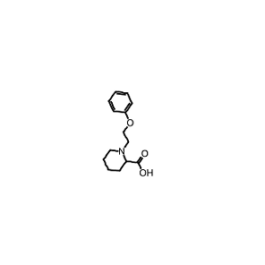 O=C(O)C1CCCCN1CCOc1ccccc1